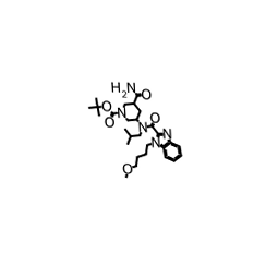 COCCCCn1c(C(=O)N(CC(C)C)C2CC(C(N)=O)CN(C(=O)OC(C)(C)C)C2)nc2ccccc21